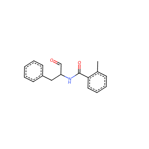 Cc1ccccc1C(=O)NC(C=O)Cc1ccccc1